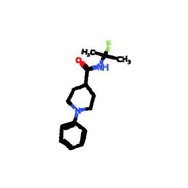 CC(C)(F)NC(=O)C1CCN(c2ccccc2)CC1